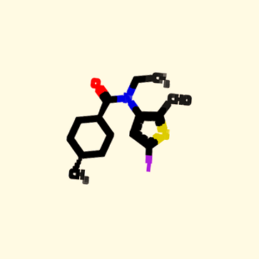 C[C@H]1CC[C@H](C(=O)N(CC(F)(F)F)c2cc(I)sc2C=O)CC1